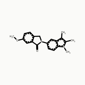 COc1ccc2c(c1)C(=O)N(c1ccc3c(c1)c(C)c(C)n3C)C2